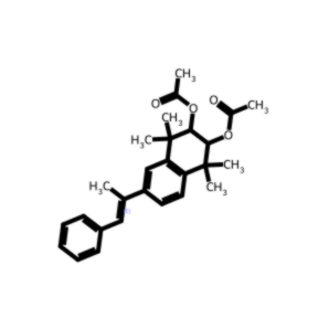 CC(=O)OC1C(OC(C)=O)C(C)(C)c2cc(/C(C)=C/c3ccccc3)ccc2C1(C)C